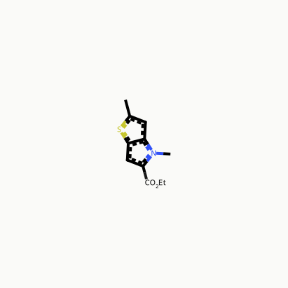 CCOC(=O)c1cc2sc(C)cc2n1C